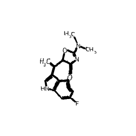 CC(c1c[nH]c2cc(F)ccc12)C1OC(N(C)C)=NC1=O